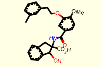 COc1ccc(C(=O)NC2(C(=O)O)Cc3ccccc3C2O)cc1OCCc1cccc(C)c1